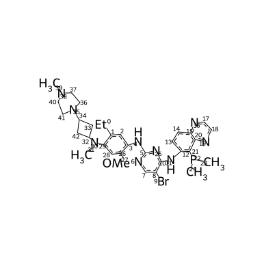 CCc1cc(Nc2ncc(Br)c(Nc3ccc4nccnc4c3P(C)C)n2)c(OC)cc1N(C)C1CC(N2CCN(C)CC2)C1